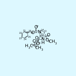 COC(=O)C1(NC(=O)OC(C)(C)C)CCN(C(=O)OCc2ccccc2)C1